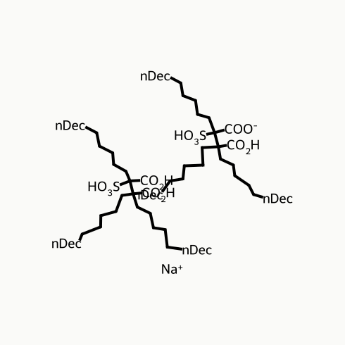 CCCCCCCCCCCCCCCC(CCCCCCCCCCCCCCC)(C(=O)O)C(CCCCCCCCCCCCCCC)(C(=O)O)S(=O)(=O)O.CCCCCCCCCCCCCCCC(CCCCCCCCCCCCCCC)(C(=O)O)C(CCCCCCCCCCCCCCC)(C(=O)[O-])S(=O)(=O)O.[Na+]